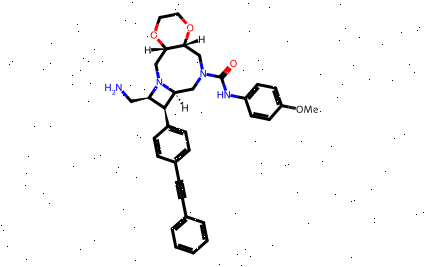 COc1ccc(NC(=O)N2C[C@H]3OCCO[C@H]3CN3[C@H](CN)[C@H](c4ccc(C#Cc5ccccc5)cc4)[C@@H]3C2)cc1